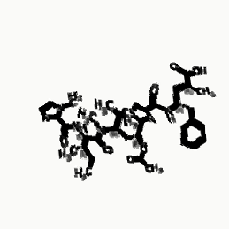 CC[C@H](C)[C@H](NC(=O)c1nccn1C)C(=O)N(C)[C@H](C[C@@H](OC(C)=O)c1nc(C(=O)N[C@@H](Cc2ccccc2)C[C@H](C)C(=O)O)cs1)C(C)C